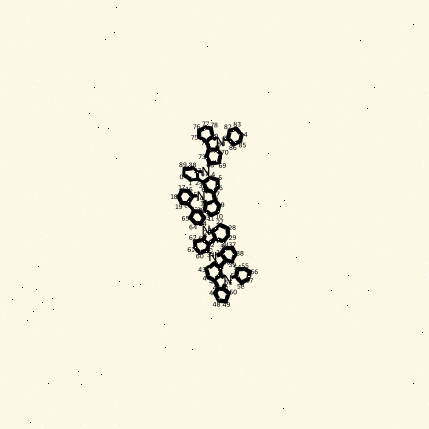 C1=CC2c3c(ccc4c5ccccc5n(-c5ccccc5-c5ccc(-n6c7ccccc7c7c(-n8c9ccccc9c9c8ccc8c%10ccccc%10n(-c%10ccccc%10)c89)cccc76)cc5)c34)N(c3ccc4c(c3)c3ccccc3n4-c3ccccc3)C2C=C1